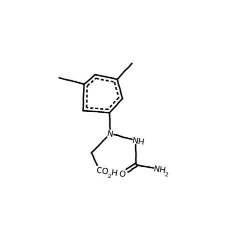 Cc1cc(C)cc(N(CC(=O)O)NC(N)=O)c1